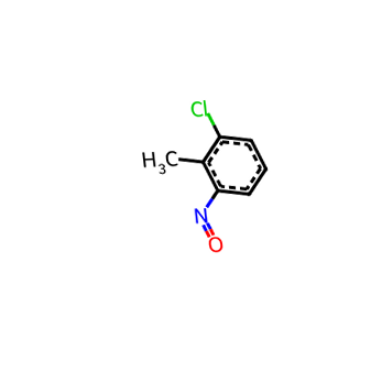 Cc1c(Cl)cccc1N=O